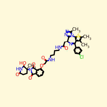 Cc1sc2c(c1C)C(c1ccc(Cl)cc1)=N[C@@H](CC(=O)NCCCCNC(=O)COc1cccc3c1C(=O)N([C@]1(C)CCC(=O)NC1O)C3=O)c1nnc(C)n1-2